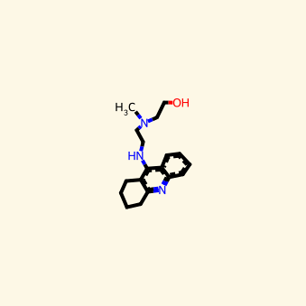 CN(CCO)CCNc1c2c(nc3ccccc13)CCCC2